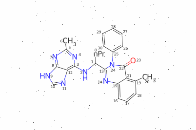 CCCC(Nc1nc(C)nc2[nH]cnc12)c1nc2cccc(C)c2c(=O)n1-c1ccccc1